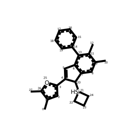 Cc1cc(C2=Cc3c(cc(C)c(C)c3-c3ccccc3)C2[SiH]2CCC2)oc1C